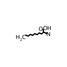 C=CCCCCCCCC(C#N)C(=O)O